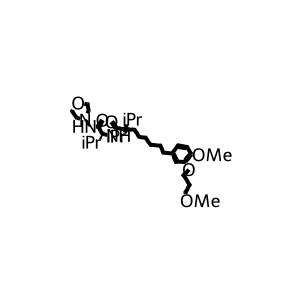 COCCCOc1cc(CCCCCCC(C(=O)N[C@H](C(=O)NN2CCOCC2)C(C)C)(C(C)C)C(C)C)ccc1OC